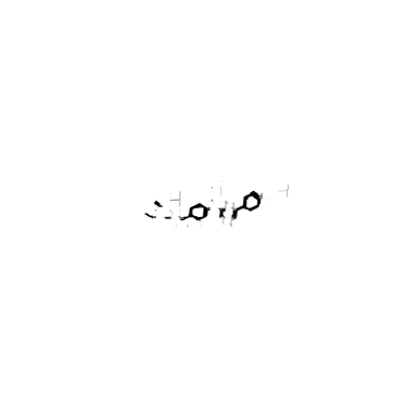 CCN(CC)CNC(=O)c1ccc(Nc2cncc(-c3ccc(O)cc3)n2)cc1OC